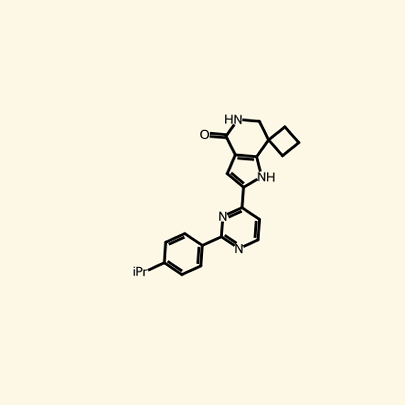 CC(C)c1ccc(-c2nccc(-c3cc4c([nH]3)C3(CCC3)CNC4=O)n2)cc1